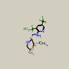 C[C@@H]1CN[C@H](CNc2ncc(C(F)(F)F)cc2C(F)(F)F)[C@H](C)O1.Cl